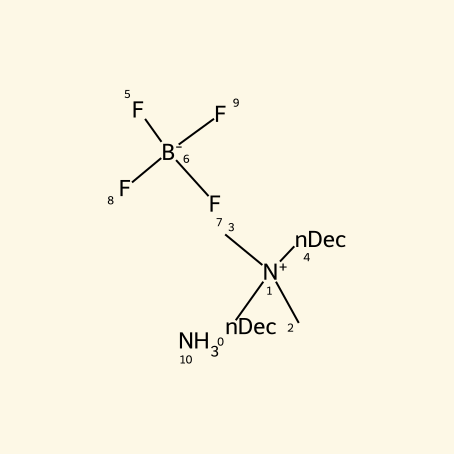 CCCCCCCCCC[N+](C)(C)CCCCCCCCCC.F[B-](F)(F)F.N